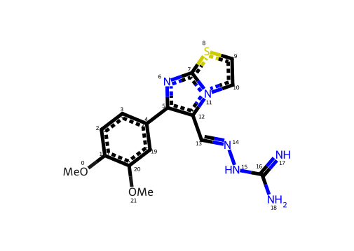 COc1ccc(-c2nc3sccn3c2/C=N/NC(=N)N)cc1OC